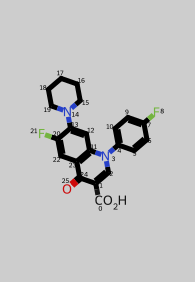 O=C(O)c1cn(-c2ccc(F)cc2)c2cc(N3CCCCC3)c(F)cc2c1=O